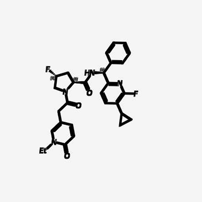 CCn1cc(CC(=O)N2C[C@H](F)C[C@H]2C(=O)N[C@@H](c2ccccc2)c2ccc(C3CC3)c(F)n2)ccc1=O